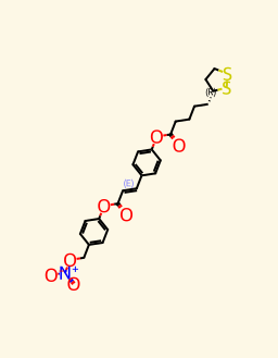 O=C(/C=C/c1ccc(OC(=O)CCCC[C@@H]2CCSS2)cc1)Oc1ccc(CO[N+](=O)[O-])cc1